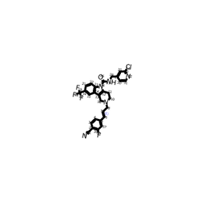 N#Cc1ccc(/C=C/CN2CCc3c(c4cc(C(F)(F)F)ccc4n3C(=O)NCc3ccnc(Cl)c3)C2)cc1F